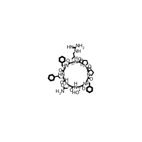 N=C(N)NCCC[C@@H]1NC(=O)[C@@H]2CCCN2C(=O)[C@H]2CCCN2C(=O)[C@H](Cc2ccccc2)NC(=O)[C@H](CO)NC(=O)[C@H](CC(N)=O)NC(=O)[C@H](CCc2ccccc2)NC(=O)[C@H](Cc2ccccc2)NC1=O